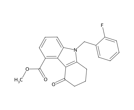 COC(=O)c1cccc2c1c1c(n2Cc2ccccc2F)CCCC1=O